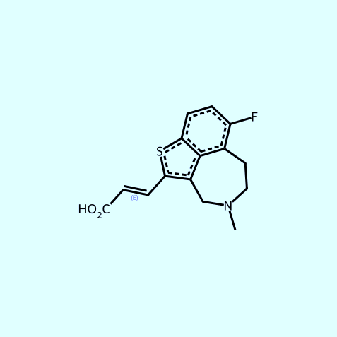 CN1CCc2c(F)ccc3sc(/C=C/C(=O)O)c(c23)C1